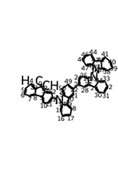 CC1(C)c2ccccc2-c2ccc(-n3c4ccccc4c4cc(-c5ccc6c(c5)c5ccccc5n6-n5c6ccccc6c6ccccc65)ccc43)cc21